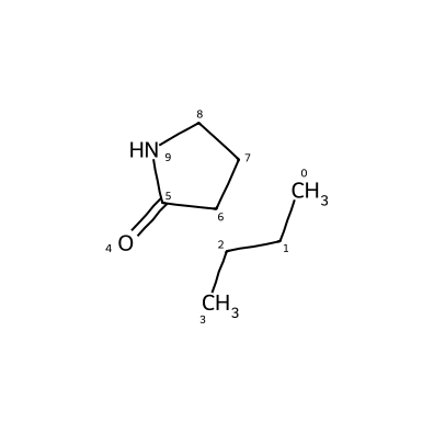 CCCC.O=C1CCCN1